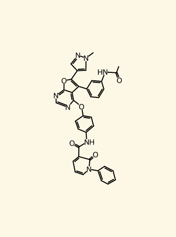 CC(=O)Nc1cccc(-c2c(-c3cnn(C)c3)oc3ncnc(Oc4ccc(NC(=O)c5cccn(-c6ccccc6)c5=O)cc4)c23)c1